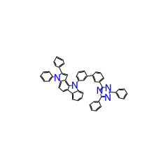 c1ccc(-c2nc(-c3ccccc3)nc(-c3cccc(-c4cccc(-n5c6ccccc6c6ccc7c(cc(-c8ccccc8)n7-c7ccccc7)c65)c4)c3)n2)cc1